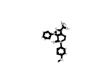 COc1ccc(N2CCc3c(C(N)=O)nn(-c4ccccc4)c3C2=O)cc1